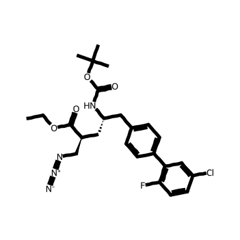 CCOC(=O)[C@H](CN=[N+]=[N-])C[C@@H](Cc1ccc(-c2cc(Cl)ccc2F)cc1)NC(=O)OC(C)(C)C